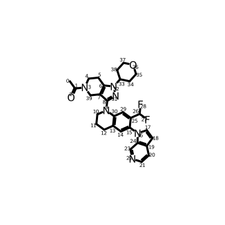 CC(=O)N1CCc2c(c(N3CCCc4cc(-n5ccc6ccncc65)c(C(F)F)cc43)nn2C2CCOCC2)C1